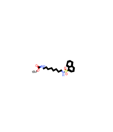 CC(C)(C)OC(=O)NCCCCCCCCNS(=O)(=O)c1cccc2ccccc12